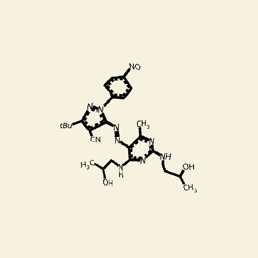 Cc1nc(NCC(C)O)nc(NCC(C)O)c1N=Nc1c(C#N)c(C(C)(C)C)nn1-c1ccc(N=O)cc1